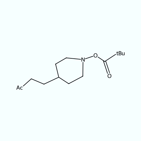 CC(=O)CCC1CCN(OC(=O)C(C)(C)C)CC1